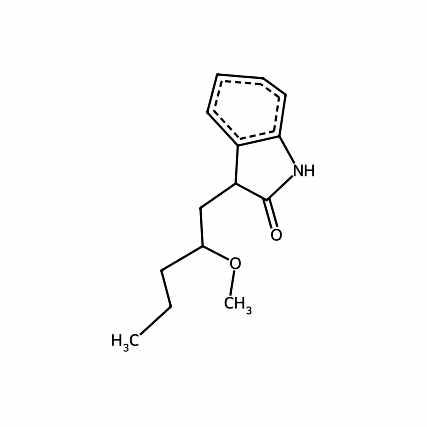 CCCC(CC1C(=O)Nc2ccccc21)OC